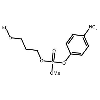 CCOCCCOP(=O)(OC)Oc1ccc([N+](=O)[O-])cc1